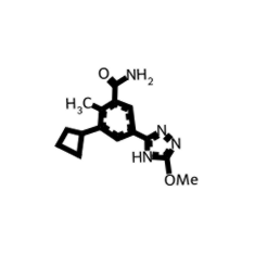 COc1nnc(-c2cc(C(N)=O)c(C)c(C3CCC3)c2)[nH]1